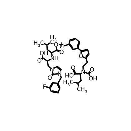 CC(C)CC(C(=O)O)N(CCc1ccc(-c2cccc(Cl)c2)o1)C(=O)O.CC(C)CC(NC(Cn1ccn(Cc2cccc(F)c2)c1=O)C(=O)O)C(=O)O